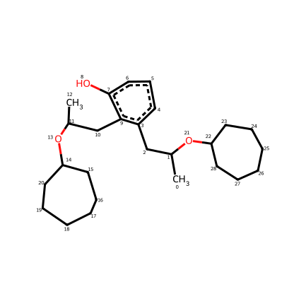 CC(Cc1cccc(O)c1CC(C)OC1CCCCCC1)OC1CCCCCC1